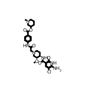 CO[C@@H]1CN(CC(=O)Nc2ccc(C(=O)OC3CCCN(C)C3)cc2)CC[C@@H]1NC(=O)c1cc(Cl)c(N)[nH]c1=O